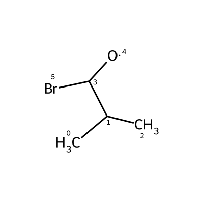 CC(C)C([O])Br